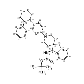 CC(C)(C)OC(=O)N[C@@H]1c2ccccc2CC12CCN(c1cnc(N3CCCC[C@@H]3c3ccccc3)cn1)CC2